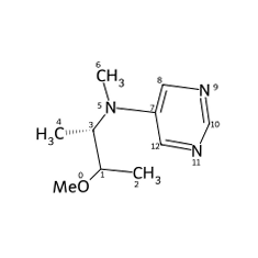 COC(C)[C@H](C)N(C)c1cncnc1